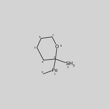 [CH3][Po][C]1([SiH3])CCCCO1